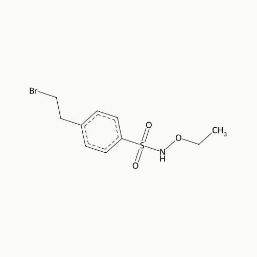 CCONS(=O)(=O)c1ccc(CCBr)cc1